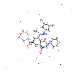 CC(Nc1cc(F)cc(F)c1)c1cc(C(=O)N2CCCOCC2)cc2c(=O)cc(N3CCOCC3)oc12